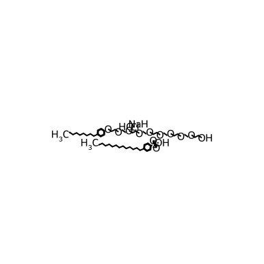 CCCCCCCCCCCCCCc1ccc(S(=O)(=O)O)cc1.CCCCCCCCCc1ccc(OCCOCCOCCOCCOCCOCCOCCOCCOCCO)cc1.OCl.[NaH]